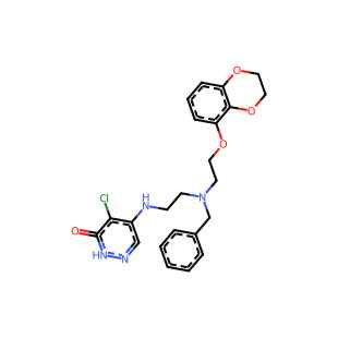 O=c1[nH]ncc(NCCN(CCOc2cccc3c2OCCO3)Cc2ccccc2)c1Cl